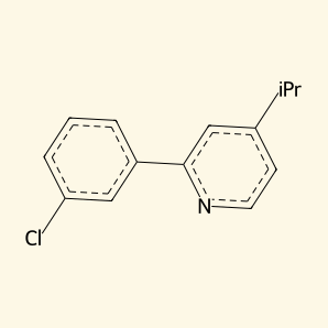 CC(C)c1ccnc(-c2cccc(Cl)c2)c1